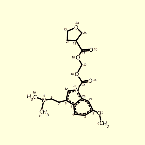 COc1ccc2c(CCN(C)C)cn(C(=O)OCOC(=O)C3CCOC3)c2c1